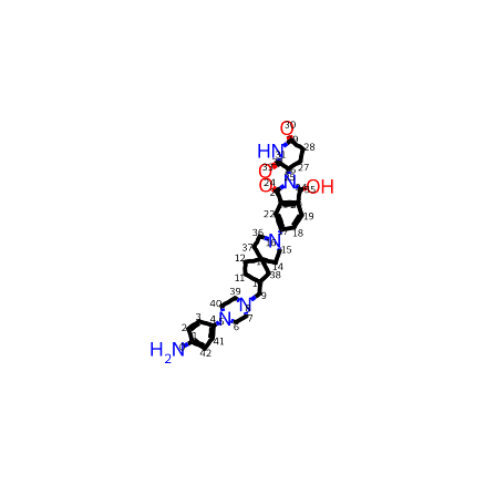 Nc1ccc(N2CCN(CC3CCC4(CCN(c5ccc6c(c5)C(=O)N(C5CCC(=O)NC5=O)C6O)CC4)C3)CC2)cc1